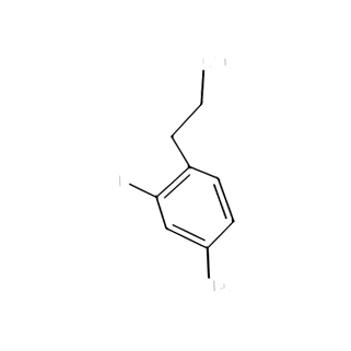 CC(C)(C)CCc1ccc(C(C)(C)C)cc1F